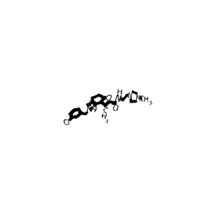 Cc1c(C(=O)NCCN2CCN(C)CC2)oc2c1-c1nn(Cc3cccc(Cl)c3)cc1CC2